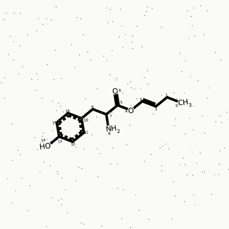 CCC=COC(=O)C(N)Cc1ccc(O)cc1